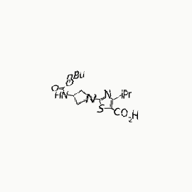 CCCCOC(=O)NC1CN(c2nc(C(C)C)c(C(=O)O)s2)C1